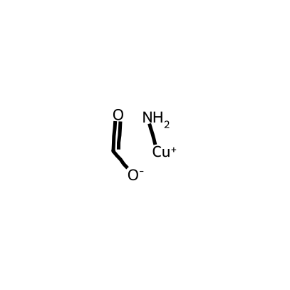 O=C[O-].[NH2][Cu+]